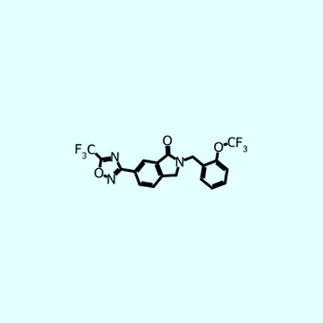 O=C1c2cc(-c3noc(C(F)(F)F)n3)ccc2CN1Cc1ccccc1OC(F)(F)F